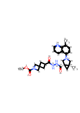 CC(C)(C)OC(=O)N1CC2(CC(C(=O)NNC(=O)[C@]34CN(c5ccc(C(F)(F)F)c6ncccc56)C[C@@]3(C(F)(F)F)C4)C2)C1